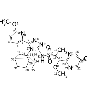 COc1cccc(-c2nnc(NS(=O)(=O)C(C)C(OC)c3ncc(Cl)cn3)n2C23CC4CC(CC(C4)C2)C3)n1